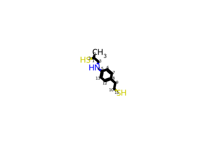 CC(S)CNc1ccc(CCS)cc1